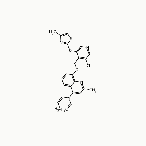 C=CN(/C=C\C)c1cc(C)nc2c(OCc3c(Cl)cncc3Sc3nc(C)cs3)cccc12